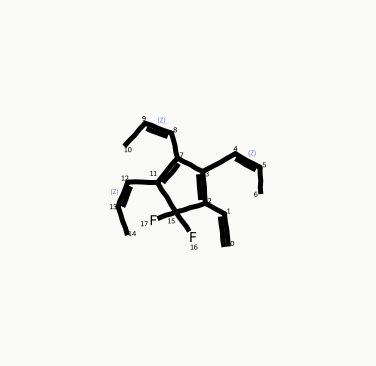 C=CC1=C(/C=C\C)C(/C=C\C)=C(/C=C\C)C1(F)F